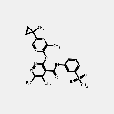 Cc1nc(C2(C(F)(F)F)CC2)cnc1Oc1nnc(C(F)(F)F)c(C)c1C(=O)Nc1cccc(S(C)(=N)=O)c1